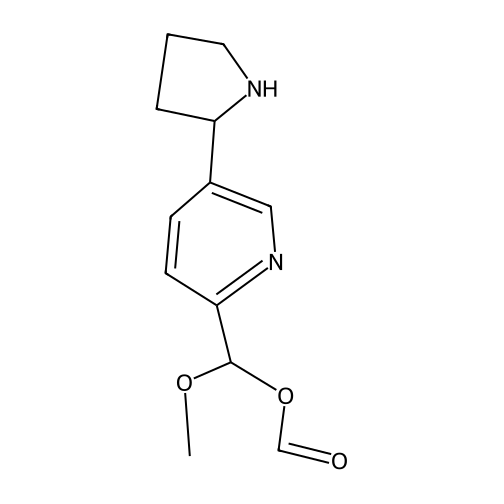 COC(OC=O)c1ccc(C2CCCN2)cn1